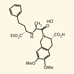 CCOC(=O)[C@H](CCc1ccccc1)N[C@@H](C)C(=O)N1Cc2cc(OC)c(OC)cc2C[C@H]1C(=O)O.Cl